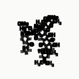 COC(=O)Nc1nc2ccc(C(=O)c3cccs3)cc2[nH]1.COC(=O)[C@@H]1c2cc3c(c(O)c2[C@@H](O[C@@H]2O[C@@H](C)[C@H](OC)[C@@](C)(O)[C@H]2OC)C[C@]1(C)O)C(=O)c1c(O)cc2c(c1C3=O)C[C@H]1C[C@H](N(C)C)C[C@]2(C)O1